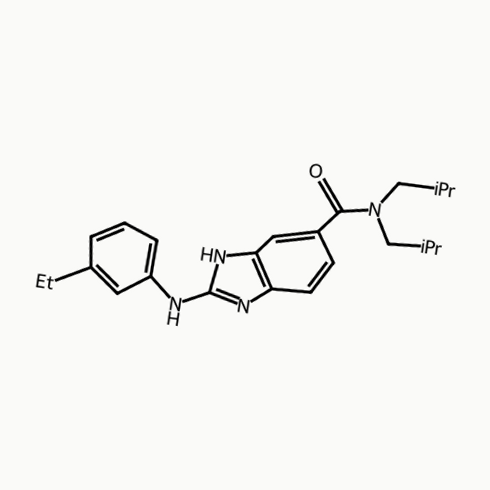 CCc1cccc(Nc2nc3ccc(C(=O)N(CC(C)C)CC(C)C)cc3[nH]2)c1